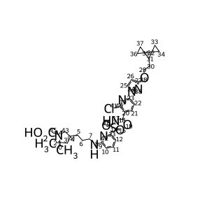 CC1(C)C[C@H](CCCNc2cccc(S(=O)(=O)NC(=O)c3ccc(-n4ccc(OCCC5C6(CC6)C56CC6)n4)nc3Cl)n2)CN1C(=O)O